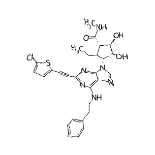 CCC1[C@@H](n2cnc3c(NCCc4ccccc4)nc(C#Cc4ccc(Cl)s4)nc32)[C@H](O)[C@H](O)[C@H]1C(=O)NC